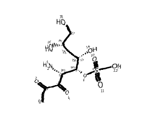 CC(=O)C(=O)[C@H](N)[C@@H](OS(=O)(=O)O)[C@@H](O)[C@H](O)CO